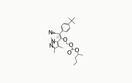 CCCC(C)OC(=O)OCO/C(=C(/C#N)c1ccc(C(C)(C)C)cc1)c1c(C)c(C)nn1C